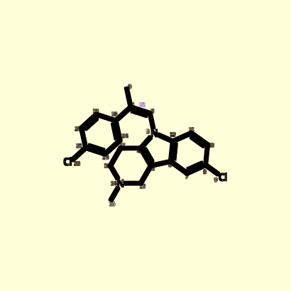 C/C(=C/n1c2c(c3cc(Cl)ccc31)CN(C)CC2)c1ccc(Cl)cc1